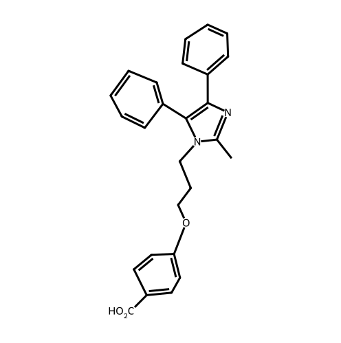 Cc1nc(-c2ccccc2)c(-c2ccccc2)n1CCCOc1ccc(C(=O)O)cc1